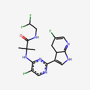 CC(C)(Nc1nc(C2=CNC3=NC=C(F)CC23)ncc1F)C(=O)NCC(F)F